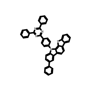 c1ccc(-c2ccc3c(c2)c2ccc4c5ccccc5sc4c2n3-c2ccc(-c3nc(-c4ccccc4)nc(-c4ccccc4)n3)cc2)cc1